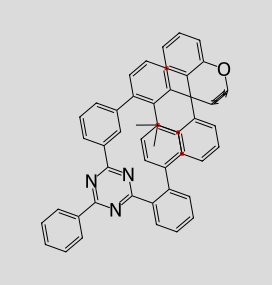 CC1(C)c2ccccc2C2(c3ccccc3Oc3ccccc32)c2cccc(-c3cccc(-c4nc(-c5ccccc5)nc(-c5ccccc5-c5ccccc5)n4)c3)c21